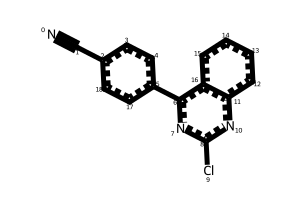 N#Cc1ccc(-c2nc(Cl)nc3ccccc23)cc1